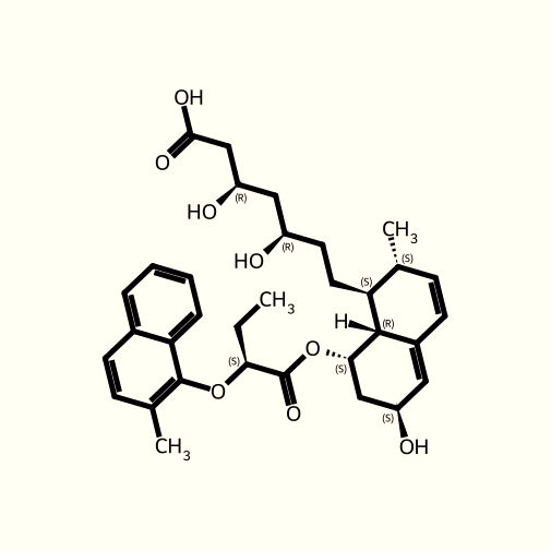 CC[C@H](Oc1c(C)ccc2ccccc12)C(=O)O[C@H]1C[C@H](O)C=C2C=C[C@@H](C)[C@H](CC[C@@H](O)C[C@@H](O)CC(=O)O)[C@H]21